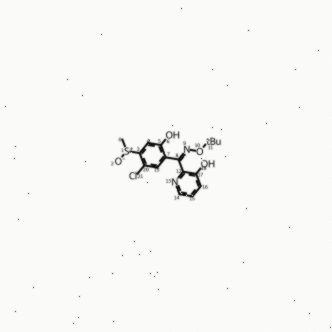 C[S+]([O-])c1cc(O)c(C(=NOC(C)(C)C)c2ncccc2O)cc1Cl